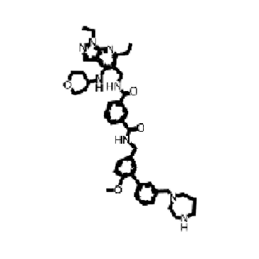 CCc1nc2c(cnn2CC)c(NC2CCOCC2)c1CNC(=O)c1cccc(C(=O)NCc2ccc(OC)c(-c3cccc(CN4CCCNCC4)c3)c2)c1